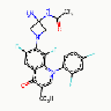 NC1(NC(=O)C(F)(F)F)CN(c2c(F)cc3c(=O)c(C(=O)O)cn(-c4ccc(F)cc4F)c3c2F)C1